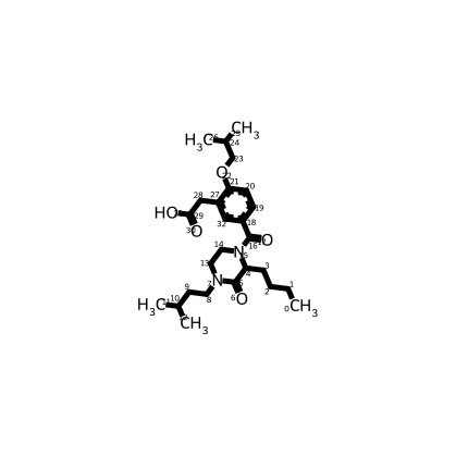 CCCCC1C(=O)N(CCC(C)C)CCN1C(=O)c1ccc(OCC(C)C)c(CC(=O)O)c1